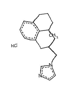 CC12CCCc3cccc(c31)CC(Cn1ccnc1)C2.Cl